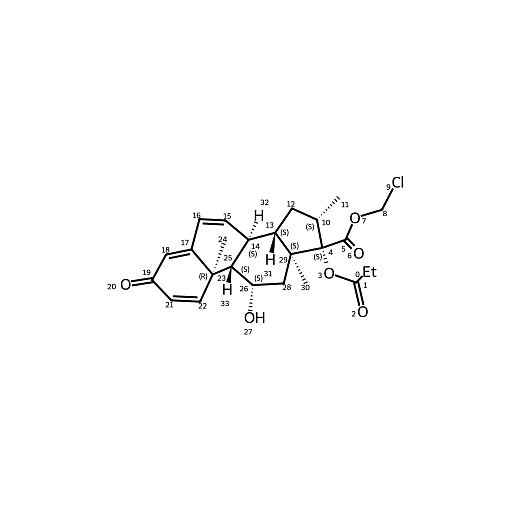 CCC(=O)O[C@@]1(C(=O)OCCl)[C@@H](C)C[C@H]2[C@@H]3C=CC4=CC(=O)C=C[C@]4(C)[C@H]3[C@@H](O)C[C@@]21C